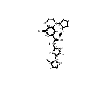 C#[N+][C@@H]1CCC[C@@H]1N1CCOc2c1cc(C(=O)Nc1nnc(-n3nccc3C)s1)oc2=O